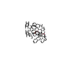 CC(C)(C)c1cc(-c2cccc3cccc(-c4ccccc4N(c4ccc5ccccc5c4)c4cccc5sc6ccccc6c45)c23)cc(C(C)(C)C)c1